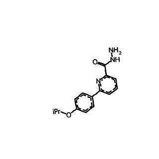 CC(C)Oc1ccc(-c2cccc(C(=O)NN)n2)cc1